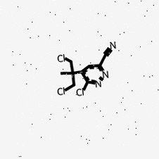 CC(CCl)(CCl)c1cc(C#N)nnc1Cl